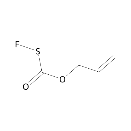 C=CCOC(=O)SF